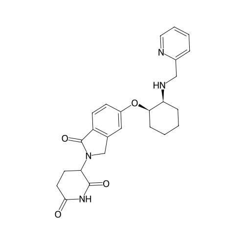 O=C1CCC(N2Cc3cc(O[C@@H]4CCCC[C@@H]4NCc4ccccn4)ccc3C2=O)C(=O)N1